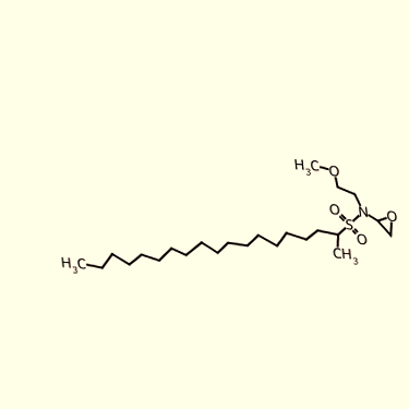 CCCCCCCCCCCCCCCCCC(C)S(=O)(=O)N(CCOC)C1CO1